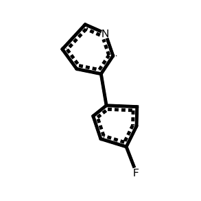 Fc1ccc(-c2[c]nccc2)cc1